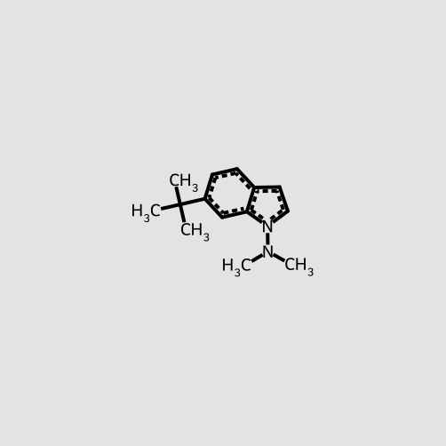 CN(C)n1ccc2ccc(C(C)(C)C)cc21